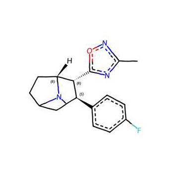 Cc1noc([C@@H]2[C@@H](c3ccc(F)cc3)CC3CC[C@H]2N3C)n1